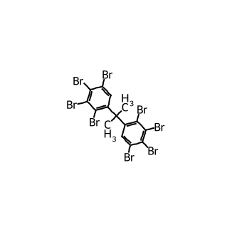 CC(C)(c1cc(Br)c(Br)c(Br)c1Br)c1cc(Br)c(Br)c(Br)c1Br